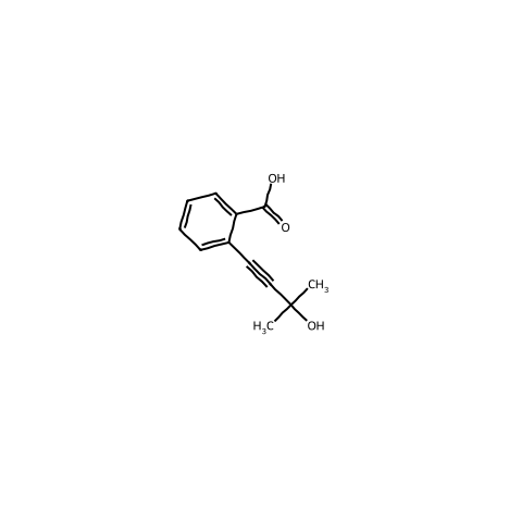 CC(C)(O)C#Cc1ccccc1C(=O)O